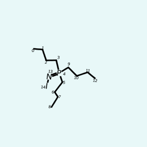 CCCCP(CCCC)(CCCC)=NI